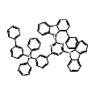 c1ccc(-c2cccc([Si](c3ccccc3)(c3ccccc3)c3cccc(-c4cc(-n5c6ccccc6c6ccccc65)nc(-n5c6ccccc6c6cccc(-c7ccccc7)c65)n4)c3)c2)cc1